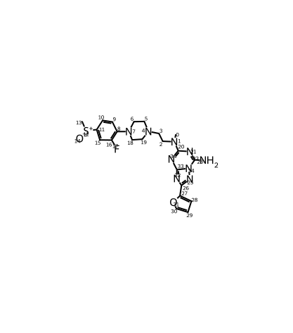 CN(CCN1CCN(c2ccc([S+](C)[O-])cc2F)CC1)c1nc(N)n2nc(-c3ccco3)nc2n1